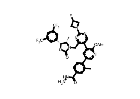 COc1ncc(-c2ccc(C(=O)NN)cc2C)cc1-c1cnc(N2CC(F)C2)nc1CN1C(=O)O[C@H](c2cc(C(F)(F)F)cc(C(F)(F)F)c2)[C@@H]1C